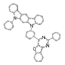 c1ccc(-c2nc(-c3cccc(-n4c5ccccc5c5cc6c7ccccc7n(-c7ccccc7)c6cc54)c3)c3oc4ccccc4c3n2)cc1